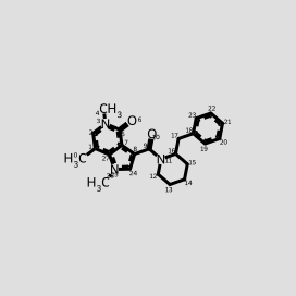 Cc1cn(C)c(=O)c2c(C(=O)N3CCCCC3Cc3ccccc3)cn(C)c12